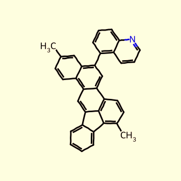 Cc1ccc2c(c1)c(-c1cccc3ncccc13)cc1c3ccc(C)c4c3c(cc21)-c1ccccc1-4